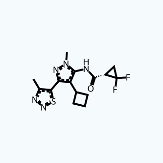 Cc1nnsc1-c1nn(C)c(NC(=O)[C@@H]2CC2(F)F)c1C1CCC1